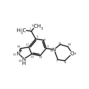 CC(C)c1cc(N2CCOCC2)cc2[nH]ncc12